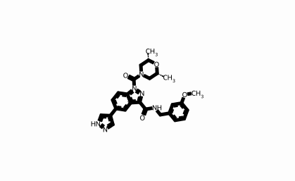 COc1cccc(CNC(=O)c2nn(C(=O)N3C[C@@H](C)O[C@@H](C)C3)c3ccc(-c4cn[nH]c4)cc23)c1